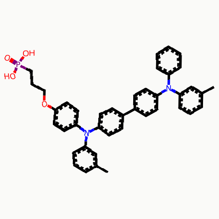 Cc1cccc(N(c2ccccc2)c2ccc(-c3ccc(N(c4ccc(OCCCP(=O)(O)O)cc4)c4cccc(C)c4)cc3)cc2)c1